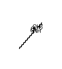 CCCCCCCCCCCCCCCC(=O)N[C@@H](CCC(=O)CC(C)C)C(=O)O